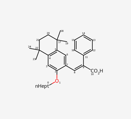 CCCCCCCOc1cc2c(cc1C=C(C(=O)O)c1ccccc1)C(C)(C)CCC2(C)C